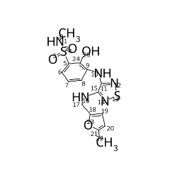 CNS(=O)(=O)c1cccc(Nc2nsnc2NCc2ccc(C)o2)c1O